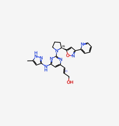 Cc1cc(Nc2cc(/C=C/CO)nc(N3CCC[C@H]3c3cc(-c4ccccn4)no3)n2)n[nH]1